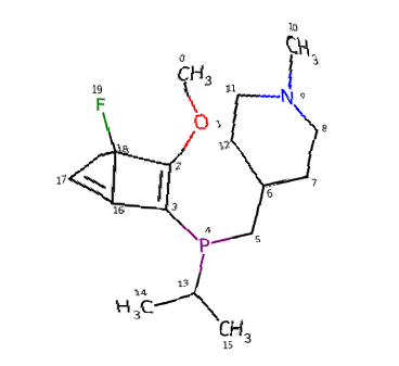 COC1=C(P(CC2CCN(C)CC2)C(C)C)C2=CC21F